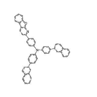 c1ccc2cc(-c3ccc(N(c4ccc(-c5ccc6ccccc6c5)cc4)c4ccc(-c5ccc6c(n5)oc5ccccc56)cc4)cc3)ccc2c1